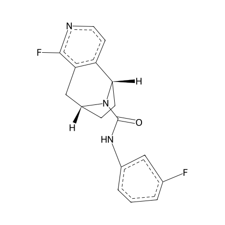 O=C(Nc1cccc(F)c1)N1[C@@H]2CC[C@H]1c1ccnc(F)c1C2